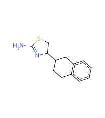 NC1=NC(C2CCc3ccccc3C2)CS1